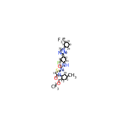 Cc1ccc(COCC(F)(F)F)c(N2C(=O)CSC2=NC(=O)Nc2ccc(-c3ncn(-c4cccc(C(F)(F)F)c4)n3)cc2F)c1